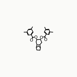 Cc1cc(C)cc(C(=O)OC2CC3C4CCC(C4)C3CC2OC(=O)c2cc(C)cc(C)c2)c1